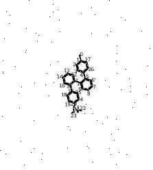 Cc1ccc(-c2ccccc2-c2ccccc2-c2ccc(N(C)C)cc2)cc1